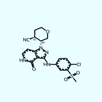 CS(=O)(=O)c1cc(Nc2nn([C@H]3COCC[C@@H]3C#N)c3cc[nH]c(=O)c23)ccc1Cl